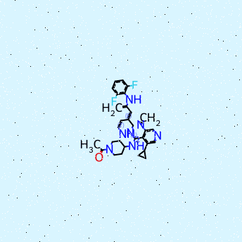 C=Nc1cncc(C2CC2)c1/C(=N\CC(/C=C\N)=C/C(=C)Nc1c(F)cccc1F)NC1CCN(C(C)=O)CC1